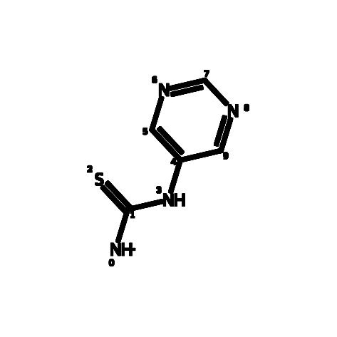 [NH]C(=S)Nc1cncnc1